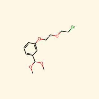 COC(OC)c1cccc(OCCOCCBr)c1